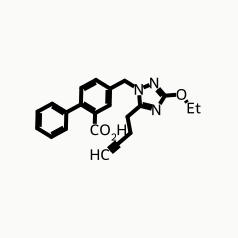 C#CCCc1nc(OCC)nn1Cc1ccc(-c2ccccc2)c(C(=O)O)c1